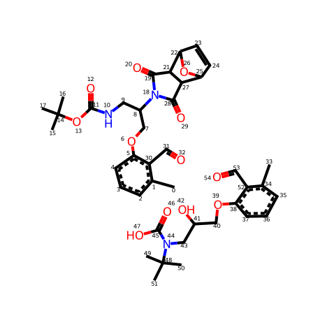 Cc1cccc(OCC(CNC(=O)OC(C)(C)C)N2C(=O)C3C4C=CC(O4)C3C2=O)c1C=O.Cc1cccc(OCC(O)CN(C(=O)O)C(C)(C)C)c1C=O